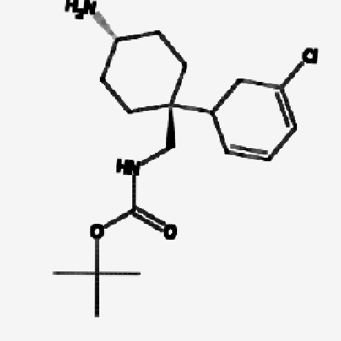 CC(C)(C)OC(=O)NC[C@]1(C2C=CC=C(Cl)C2)CC[C@@H](N)CC1